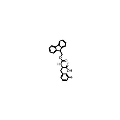 O=C(NC(Cc1cccc(F)c1)C(=O)O)OCC1c2ccccc2-c2ccccc21